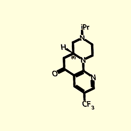 CC(C)N1CCN2c3ncc(C(F)(F)F)cc3C(=O)C[C@@H]2C1